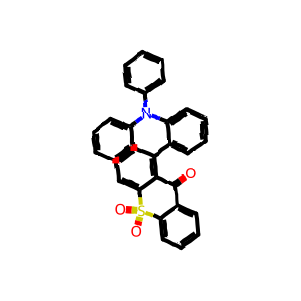 O=C1c2ccccc2S(=O)(=O)c2cccc(-c3ccccc3N(c3ccccc3)c3ccccc3)c21